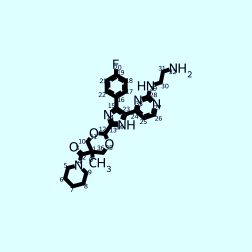 CC1(C(=O)N2CCCCC2)COC(c2nc(-c3ccc(F)cc3)c(-c3ccnc(NCCN)n3)[nH]2)OC1